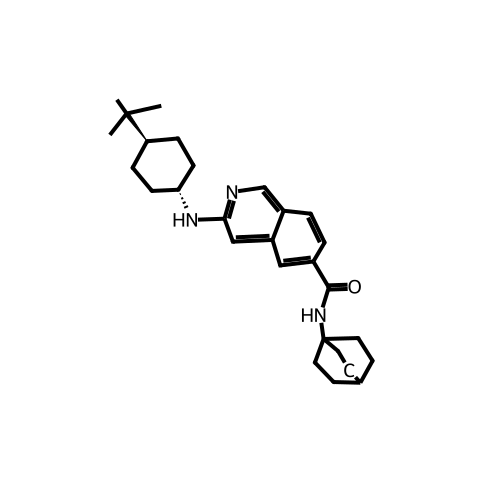 CC(C)(C)[C@H]1CC[C@H](Nc2cc3cc(C(=O)NC45CCC(CC4)CC5)ccc3cn2)CC1